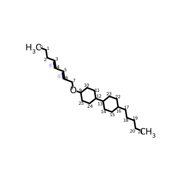 CCC/C=C/C=C/COC1CCC(C2CCC(CCCCC)CC2)CC1